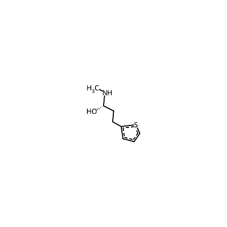 CN[C@@H](O)CCc1cccs1